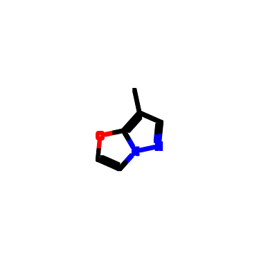 Cc1cnn2ccoc12